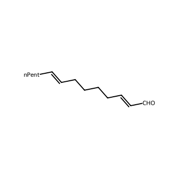 CCCCCC=CCCCCC=CC=O